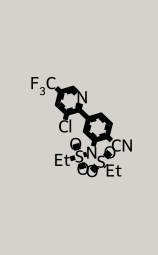 CCS(=O)(=O)N(c1cc(-c2ncc(C(F)(F)F)cc2Cl)ccc1C#N)S(=O)(=O)CC